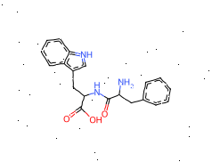 NC(Cc1ccccc1)C(=O)NC(Cc1c[nH]c2ccccc12)C(=O)O